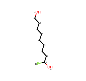 OCCCCCCCCC(O)F